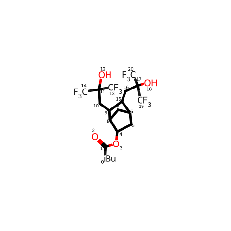 CCC(C)C(=O)OC1CC2CC1C(CC(O)(C(F)(F)F)C(F)(F)F)C2CC(O)(C(F)(F)F)C(F)(F)F